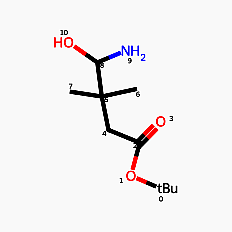 CC(C)(C)OC(=O)CC(C)(C)C(N)O